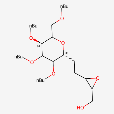 CCCCOCC1O[C@H](CCC2OC2CO)C(OCCCC)C(OCCCC)[C@H]1OCCCC